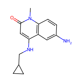 Cn1c(=O)cc(NCC2CC2)c2cc(N)ccc21